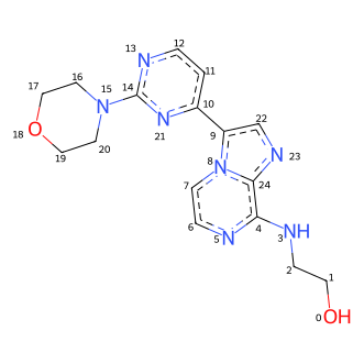 OCCNc1nccn2c(-c3ccnc(N4CCOCC4)n3)cnc12